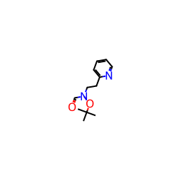 CC(C)(C)ON(C=O)CCc1ccccn1